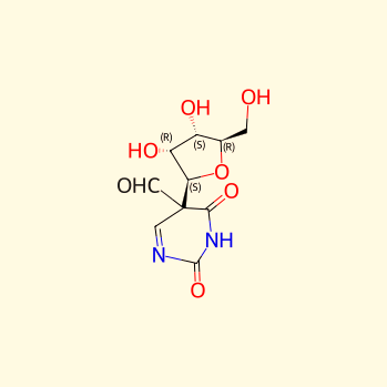 O=CC1([C@@H]2O[C@H](CO)[C@@H](O)[C@H]2O)C=NC(=O)NC1=O